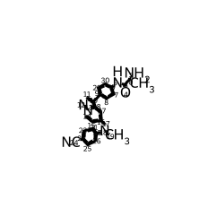 C[C@H](N)C(=O)Nc1ccc(-c2cnn3ccc(CN(C)c4ccc(C#N)cc4)cc23)cc1